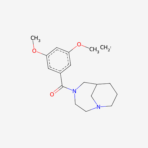 COc1cc(OC)cc(C(=O)N2CCN3CCCC(C3)C2)c1.[CH2]